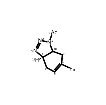 CC(=O)N1N=N[C@@H]2CC=C(F)CC21